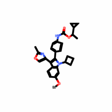 CCOc1ccc2c(-c3coc(C)n3)c(-c3ccc(NC(=O)OC(C)C4CC4)cc3)n(C3CCC3)c2c1